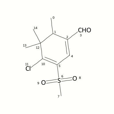 CC1C(C=O)=CC(S(C)(=O)=O)=C(Cl)C1(C)C